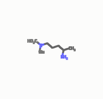 CC(N)CCCN(C(=O)O)C(C)(C)C